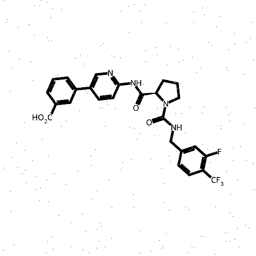 O=C(O)c1cccc(-c2ccc(NC(=O)[C@H]3CCCN3C(=O)NCc3ccc(C(F)(F)F)c(F)c3)nc2)c1